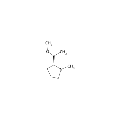 COC(C)[C@@H]1CCCN1C